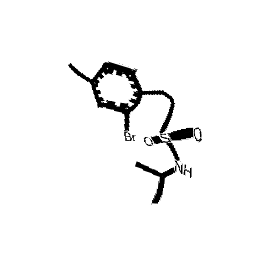 Cc1ccc(CS(=O)(=O)NC(C)C)c(Br)c1